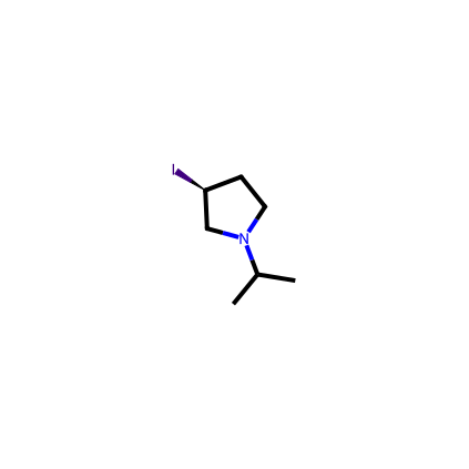 CC(C)N1CC[C@H](I)C1